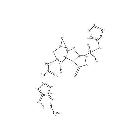 COc1ccc2oc(OC(=O)NC(CC3CC3)C(=O)N3CCC4C3C(=O)CN4S(=O)(=O)Cc3ccccn3)cc2c1